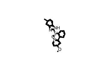 COc1ccnc(-c2ccccc2[S+]([O-])c2nc3cc(C)ccc3[nH]2)c1